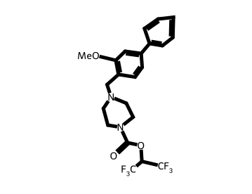 COc1cc(-c2ccccc2)ccc1CN1CCN(C(=O)OC(C(F)(F)F)C(F)(F)F)CC1